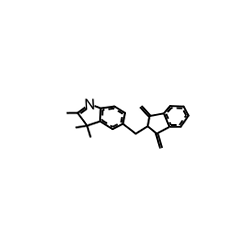 C=C1c2ccccc2C(=C)C1Cc1ccc2c(c1)C(C)(C)C(C)=N2